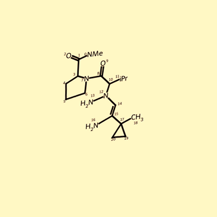 CNC(=O)C1CCCN1C(=O)C(C(C)C)N(N)/C=C(\N)C1(C)CC1